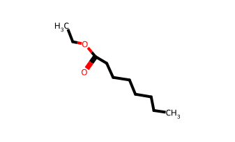 CCCCCCCC(=O)OCC